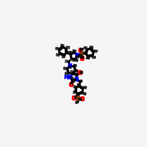 CS(=O)(=O)c1ccc(CN2C(=O)NC3(CCN(C[C@H]4CN(S(=O)(=O)c5ccccc5)C[C@@H]4c4ccccc4)CC3)C2=O)cc1